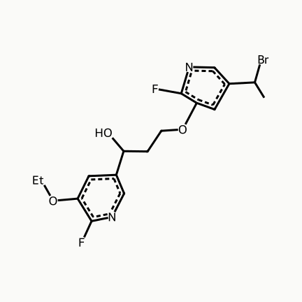 CCOc1cc(C(O)CCOc2cc(C(C)Br)cnc2F)cnc1F